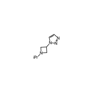 CC(C)N1CC(n2ccnn2)C1